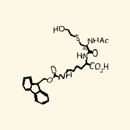 CC(=O)N[C@@H](CSCCO)C(=O)NC(CCCCNC(=O)OCC1c2ccccc2-c2ccccc21)C(=O)O